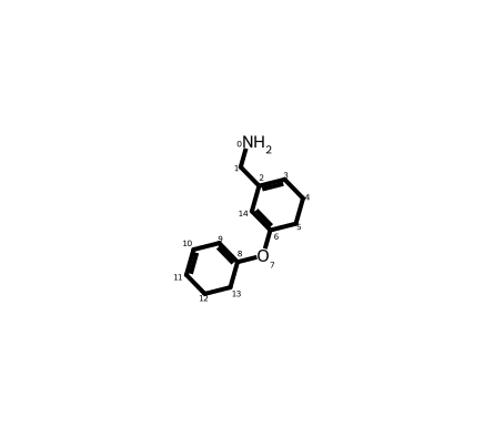 NCC1=CCCC(OC2=CC=CCC2)=C1